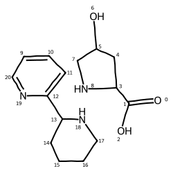 O=C(O)C1CC(O)CN1.c1ccc(C2CCCCN2)nc1